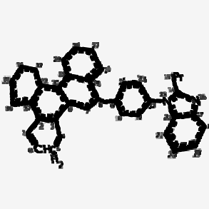 C=Cc1c(C=C)c2cc(-c3ccc(-n4c(C(C)C)nc5ccccc54)cc3)c3ccccc3c2c2ccccc12